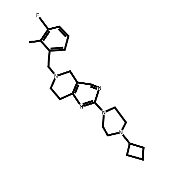 Cc1c(F)cccc1CN1CCc2nc(N3CCN(C4CCC4)CC3)ncc2C1